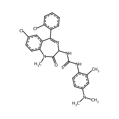 Cc1cc(N(C)C)ccc1NC(=S)NC1N=C(c2ccccc2Cl)c2cc(Cl)ccc2N(C)C1=O